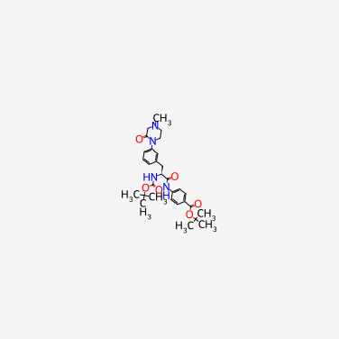 CN1CCN(c2cccc(C[C@H](NC(=O)OC(C)(C)C)C(=O)Nc3ccc(C(=O)OC(C)(C)C)cc3)c2)C(=O)C1